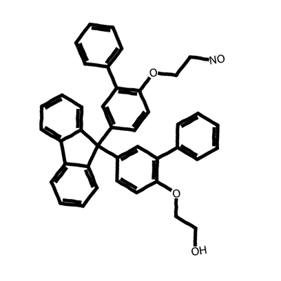 O=NCCOc1ccc(C2(c3ccc(OCCO)c(-c4ccccc4)c3)c3ccccc3-c3ccccc32)cc1-c1ccccc1